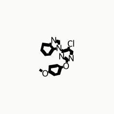 COc1ccc(Oc2ncc(Cl)c(-n3cnc4ccccc43)n2)cc1